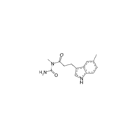 Cc1ccc2[nH]cc(CCC(=O)N(C)C(N)=O)c2c1